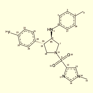 Cc1ccc(N[C@H]2CN(S(=O)(=O)c3cn(C)cn3)C[C@@H]2c2ccc(F)cc2)cc1